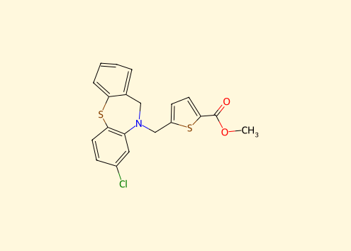 COC(=O)c1ccc(CN2Cc3ccccc3Sc3ccc(Cl)cc32)s1